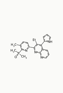 CCc1c(-c2ccc(C)c(P(C)(C)=O)n2)nc2ncccc2c1-c1ccc[nH]1